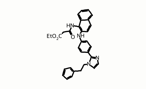 CCOC(=O)CC(=O)Nc1c(Nc2ccc(-c3nccn3CCc3ccccc3)cc2)ccc2ccccc12